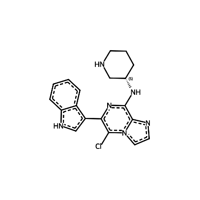 Clc1c(-c2c[nH]c3ccccc23)nc(N[C@H]2CCCNC2)c2nccn12